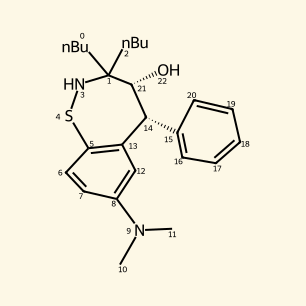 CCCCC1(CCCC)NSc2ccc(N(C)C)cc2[C@@H](c2ccccc2)[C@H]1O